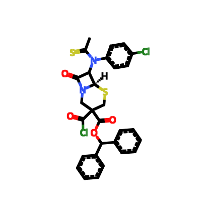 CC(=S)N(c1ccc(Cl)cc1)C1C(=O)N2CC(C(=O)Cl)(C(=O)OC(c3ccccc3)c3ccccc3)CS[C@H]12